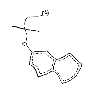 CC(C)(CO)Oc1ccc2ccccc2c1